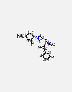 CC(=O)N(CC1CN(c2ccc(C#N)cc2F)C1)C1CC1c1ccccc1